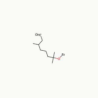 CCOC(C)(C)CCCC(C)CC=O